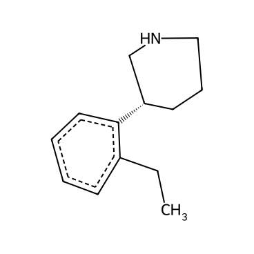 CCc1ccccc1[C@H]1CCCNC1